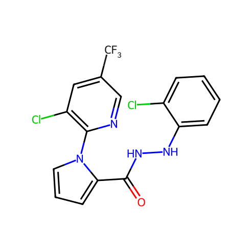 O=C(NNc1ccccc1Cl)c1cccn1-c1ncc(C(F)(F)F)cc1Cl